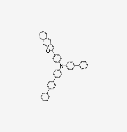 c1ccc(-c2ccc(-c3ccc(N(c4ccc(-c5ccccc5)cc4)c4ccc(-c5cc6cc7ccccc7cc6o5)cc4)cc3)cc2)cc1